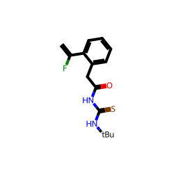 C=C(F)c1ccccc1CC(=O)NC(=S)NC(C)(C)C